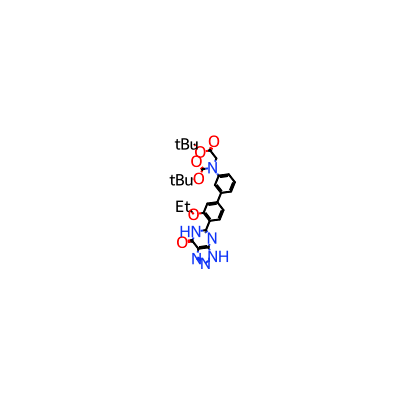 CCOc1cc(-c2cccc(N(CC(=O)OC(C)(C)C)C(=O)OC(C)(C)C)c2)ccc1-c1nc2[nH]nnc2c(=O)[nH]1